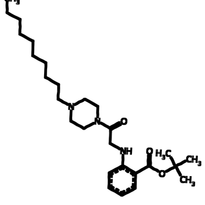 CCCCCCCCCCN1CCN(C(=O)CNc2ccccc2C(=O)OC(C)(C)C)CC1